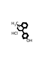 CN1CCC(c2ccc(O)cc2)c2ccccc21.Cl